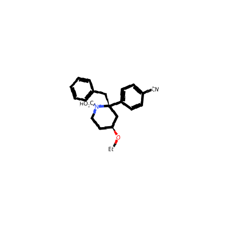 CCO[C@H]1CCN(C(=O)O)[C@](Cc2ccccc2)(c2ccc(C#N)cc2)C1